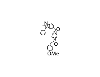 COc1ccc(CC(=O)N2CCN(C(=O)c3ccc4nc(C)c(-c5ccccc5)n4c3)CC2)cc1